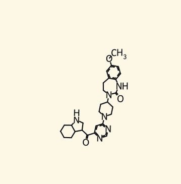 COc1ccc2c(c1)CCN(C1CCN(c3cc(C(=O)C4CNC5CCCCC54)ncn3)CC1)C(=O)N2